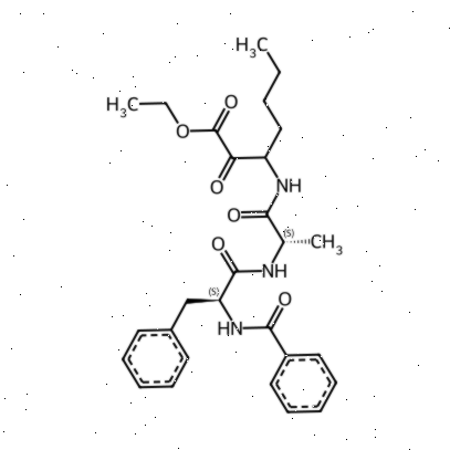 CCCCC(NC(=O)[C@H](C)NC(=O)[C@H](Cc1ccccc1)NC(=O)c1ccccc1)C(=O)C(=O)OCC